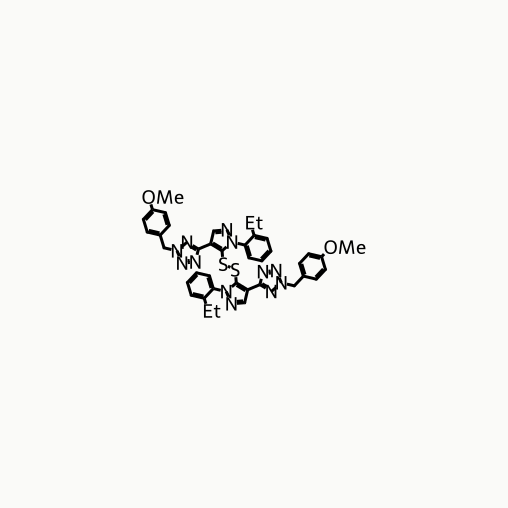 CCc1ccccc1-n1ncc(-c2nnn(Cc3ccc(OC)cc3)n2)c1SSc1c(-c2nnn(Cc3ccc(OC)cc3)n2)cnn1-c1ccccc1CC